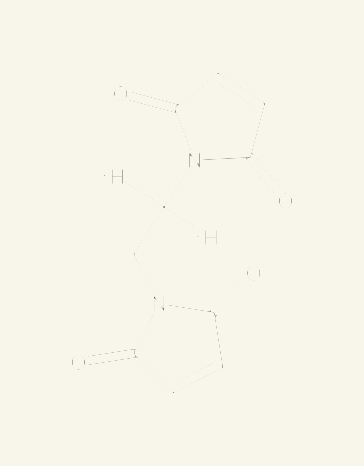 [2H]C([2H])(CN1C(=O)C=CC1=O)N1C(=O)C=CC1=O